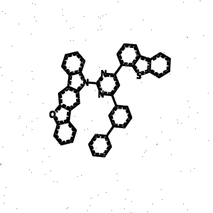 c1ccc(-c2cccc(-c3cc(-c4cccc5c4sc4ccccc45)nc(-n4c5ccccc5c5cc6oc7ccccc7c6cc54)n3)c2)cc1